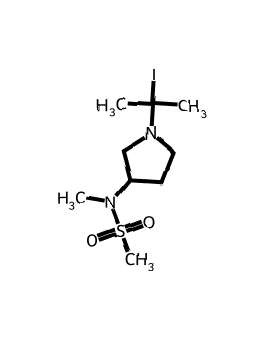 CN(C1CCN(C(C)(C)I)C1)S(C)(=O)=O